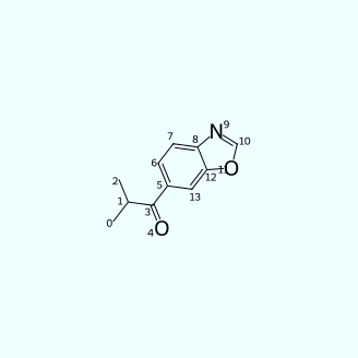 CC(C)C(=O)c1ccc2ncoc2c1